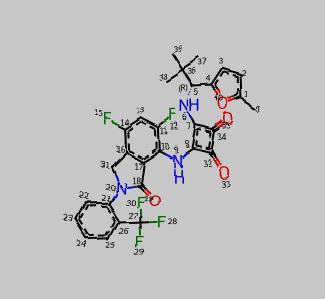 Cc1ccc([C@H](Nc2c(Nc3c(F)cc(F)c4c3C(=O)N(c3ccccc3C(F)(F)F)C4)c(=O)c2=O)C(C)(C)C)o1